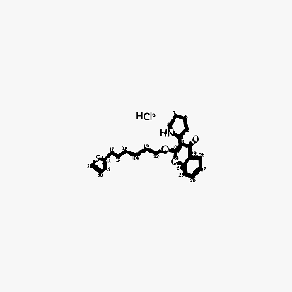 Cl.O=c1c(C2CCCCN2)c(OCCCCCCc2cccs2)oc2ccccc12